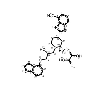 Cc1cccc2sc([C@H]3CCN(C[C@H](O)COc4cccc5occc45)[C@@H](C)C3)nc12.O=C(O)C(=O)O